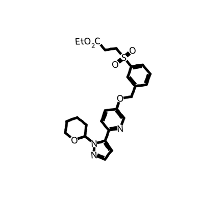 CCOC(=O)CCS(=O)(=O)c1cccc(COc2ccc(-c3ccnn3C3CCCCO3)nc2)c1